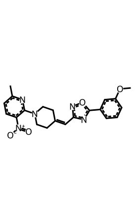 COc1cccc(-c2nc(C=C3CCN(c4nc(C)ccc4[N+](=O)[O-])CC3)no2)c1